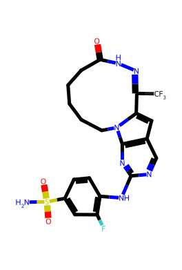 NS(=O)(=O)c1ccc(Nc2ncc3cc4n(c3n2)CCCCCC(=O)N/N=C\4C(F)(F)F)c(F)c1